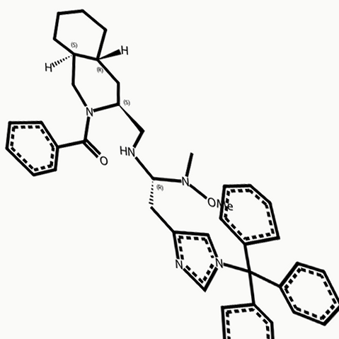 CON(C)[C@H](Cc1cn(C(c2ccccc2)(c2ccccc2)c2ccccc2)cn1)NC[C@@H]1C[C@H]2CCCC[C@@H]2CN1C(=O)c1ccccc1